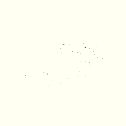 COc1ccc(C=NNc2ncc3c(n2)n(C2CCCC2)c(=O)c(=O)n3C)cc1